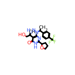 C=C(CO)c1c(N(N)C(C)c2ccc(C(F)(F)F)cc2)nc(C2CCCO2)[nH]c1=O